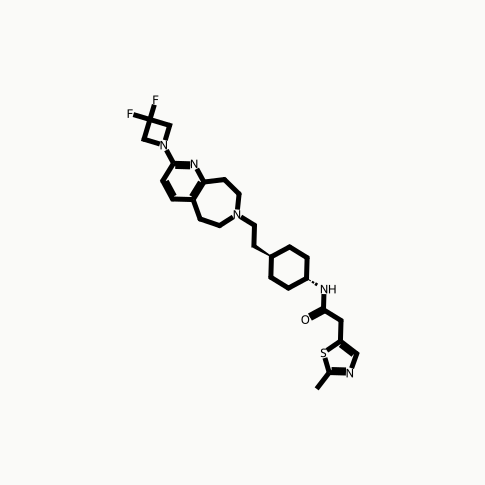 Cc1ncc(CC(=O)N[C@H]2CC[C@H](CCN3CCc4ccc(N5CC(F)(F)C5)nc4CC3)CC2)s1